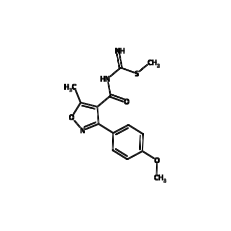 COc1ccc(-c2noc(C)c2C(=O)NC(=N)SC)cc1